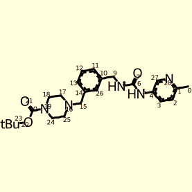 Cc1ccc(NC(=O)NCc2cccc(CN3CCN(C(=O)OC(C)(C)C)CC3)c2)cn1